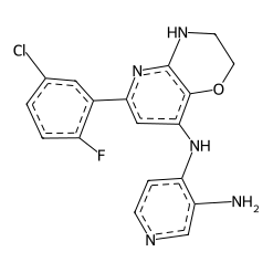 Nc1cnccc1Nc1cc(-c2cc(Cl)ccc2F)nc2c1OCCN2